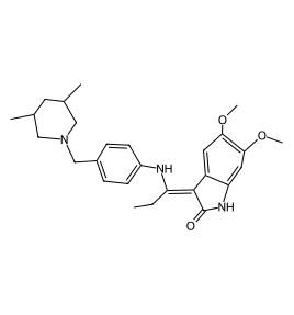 CCC(Nc1ccc(CN2CC(C)CC(C)C2)cc1)=C1C(=O)Nc2cc(OC)c(OC)cc21